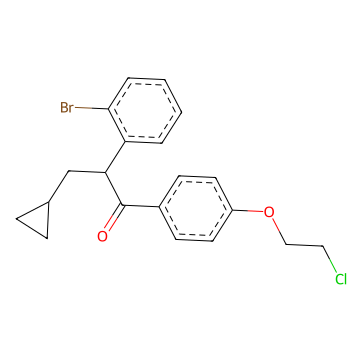 O=C(c1ccc(OCCCl)cc1)C(CC1CC1)c1ccccc1Br